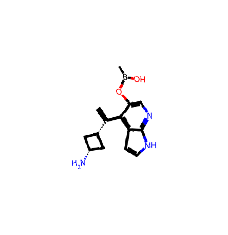 C=C(c1c(OB(C)O)cnc2[nH]ccc12)[C@H]1C[C@@H](N)C1